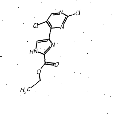 CCOC(=O)c1nc(-c2nc(Cl)ncc2Cl)c[nH]1